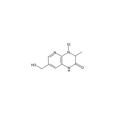 CCN1c2ncc(CO)cc2NC(=O)C1C